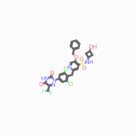 O=c1[nH]c(=O)n(-c2cc(Cl)c(Cc3cc(S(=O)(=O)NC4CC(O)C4)c(OCc4ccccc4)cn3)c(Cl)c2)nc1C(F)F